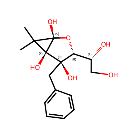 CC1(C)[C@@]2(O)[C@@](O)(Cc3ccccc3)[C@@H]([C@H](O)CO)O[C@@]12O